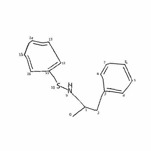 CC(Cc1ccccc1)NSc1ccccc1